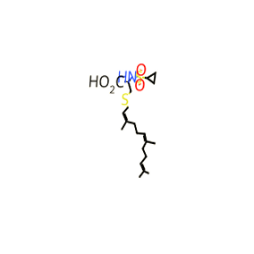 CC(C)=CCCC(C)=CCCC(C)=CCSC[C@H](NS(=O)(=O)C1CC1)C(=O)O